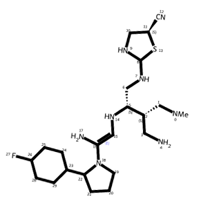 CNC[C@H](CN)[C@@H](CNC1NC[C@@H](C#N)S1)N/C=C(\N)N1CCCC1C1CCC(F)CC1